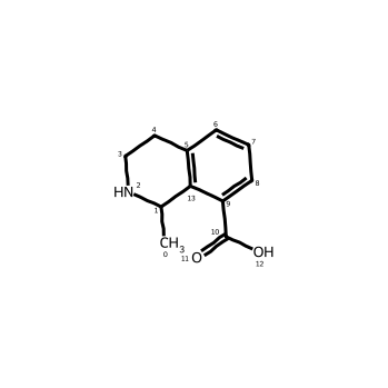 CC1NCCc2cccc(C(=O)O)c21